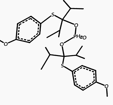 COc1ccc(SC(O[PH](=O)OC(Sc2ccc(OC)cc2)(C(C)C)C(C)C)(C(C)C)C(C)C)cc1